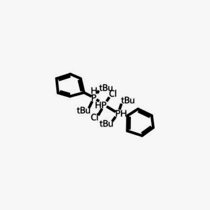 CC(C)(C)[PH](c1ccccc1)(C(C)(C)C)[PH](Cl)(Cl)[PH](c1ccccc1)(C(C)(C)C)C(C)(C)C